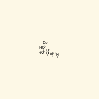 [Al+3].[Co].[Ni].[OH-].[OH-].[OH-]